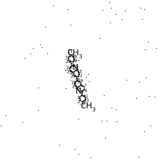 Cc1ccc(-c2ccc3cc(-c4ccc5nc(-c6ccc(C)cc6)ccc5c4)ccc3n2)cc1